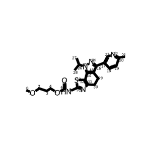 COCCCOC(=O)Nc1nc2c(s1)-c1c(c(-c3ccc(C)nc3)nn1C(C)C)CC2